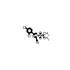 CN(C)S(=O)(=O)n1cc(-c2ccc(Cl)cc2Cl)nc1C#N